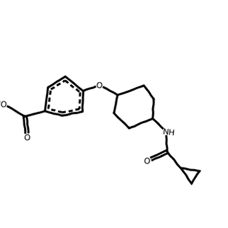 O=C(O)c1ccc(OC2CCC(NC(=O)C3CC3)CC2)cc1